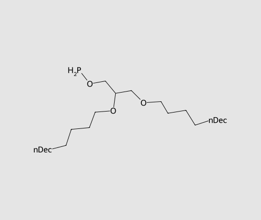 CCCCCCCCCCCCCCOCC(COP)OCCCCCCCCCCCCCC